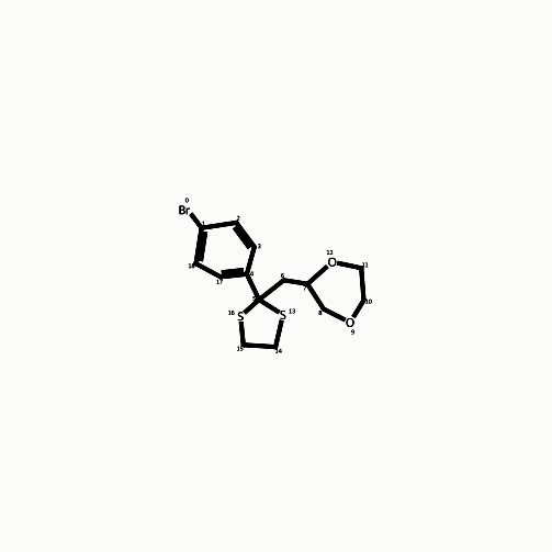 Brc1ccc(C2(CC3COCCO3)SCCS2)cc1